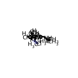 C/C(Cl)=C\C=C/C(F)[C@H]1[C@H](C(=O)Nc2ccc(CCNC(=O)OC(C)(C)C)cc2)N[C@@H](CC(C)(C)C)[C@]1(C)c1ccc(Cl)cc1F